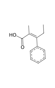 CCC(=C(C)C(=O)O)c1ccccc1